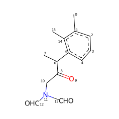 Cc1cccc(C(C)C(=O)CN(C=O)C=O)c1C